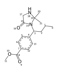 CCCC(c1ccc(C(=O)OC)cc1)N1C(=O)CNC1(C)C